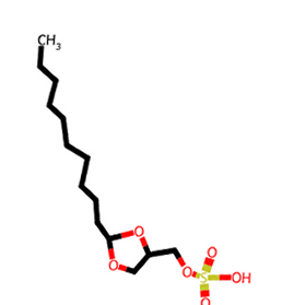 CCCCCCCCCCC1OCC(COS(=O)(=O)O)O1